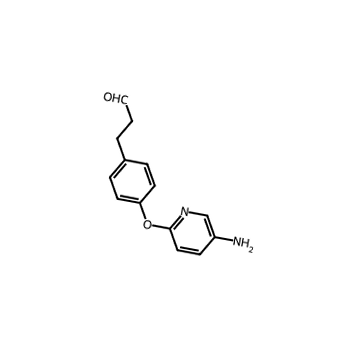 Nc1ccc(Oc2ccc(CCC=O)cc2)nc1